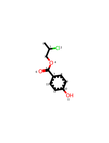 CC(Cl)COC(=O)c1ccc(O)cc1